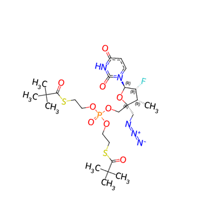 C[C@H]1[C@@H](F)[C@H](n2ccc(=O)[nH]c2=O)O[C@]1(CN=[N+]=[N-])COP(=O)(OCCSC(=O)C(C)(C)C)OCCSC(=O)C(C)(C)C